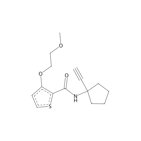 C#CC1(NC(=O)c2sccc2OCCOC)CCCC1